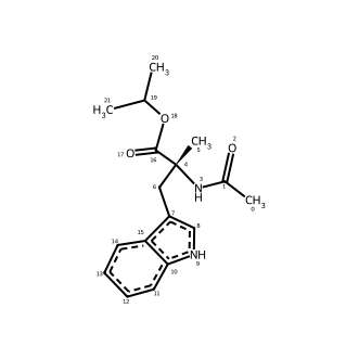 CC(=O)N[C@](C)(Cc1c[nH]c2ccccc12)C(=O)OC(C)C